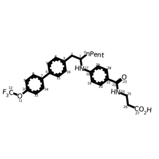 CCCCCC(Cc1ccc(-c2ccc(OC(F)(F)F)cc2)cc1)Nc1ccc(C(=O)NCCC(=O)O)cc1